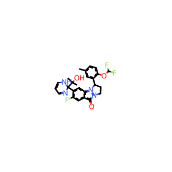 Cc1ccc(OC(F)F)c(C2CCn3c(=O)c4cc(F)c(C5(C(C)(C)O)N=CC=CN5)cc4n32)c1